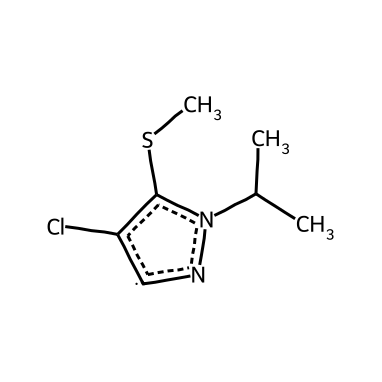 CSc1c(Cl)[c]nn1C(C)C